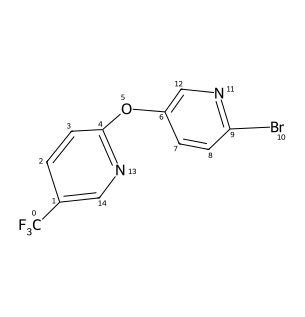 FC(F)(F)c1ccc(Oc2ccc(Br)nc2)nc1